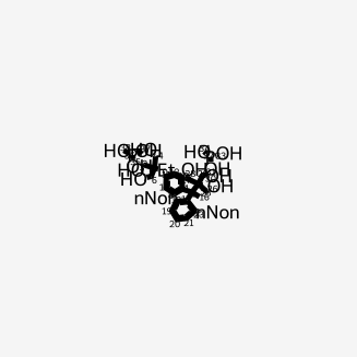 CCC(CO)(CO)CO.CCCCCCCCCc1ccccc1C(C)(c1ccccc1CCCCCCCCC)C(CO)(CO)CO.OP(O)O.OP(O)O